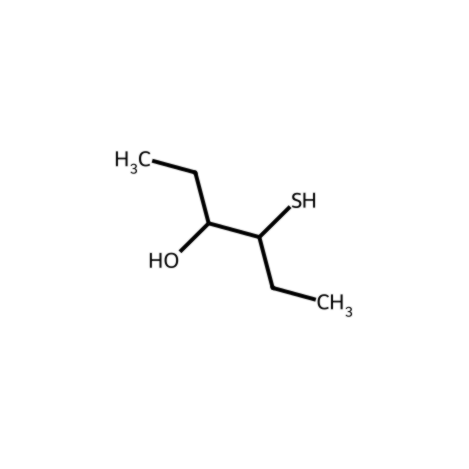 CCC(O)C(S)CC